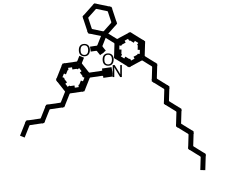 CCCCCCCCCCc1ccc(C2(C(=O)Oc3ccc(CCCCC)cc3C#N)CCCCC2)cc1